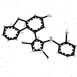 Cc1nn(C)c(Nc2ccccc2Br)c1-c1cc(Cl)cc2c1-c1ccccc1C2